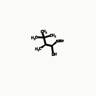 CN[C@@H](O)[C@@H](C)C(C)(C)C